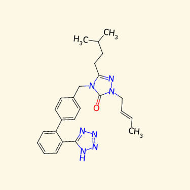 CC=CCn1nc(CCC(C)C)n(Cc2ccc(-c3ccccc3-c3nnn[nH]3)cc2)c1=O